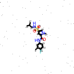 Cc1cc(NC(=O)c2cc(S(=O)(=O)NCC(C)C)cn2C)ccc1F